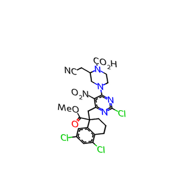 COC(=O)C1(Cc2nc(Cl)nc(N3CCN(C(=O)O)C(CC#N)C3)c2[N+](=O)[O-])CCCc2c(Cl)cc(Cl)cc21